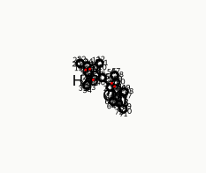 Cc1cc(-c2ccc(N(c3ccccc3-c3ccc4ccccc4c3)c3cccc4c3oc3ccccc34)c(C)c2)ccc1N(c1ccccc1-c1ccc2ccccc2c1)c1cccc2c1oc1ccccc12